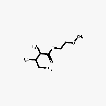 CCC(C)C(C)C(=O)OCCOC